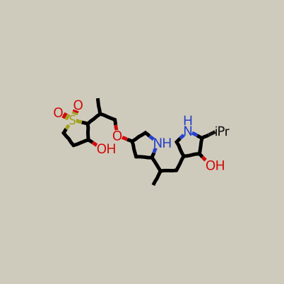 CC(C)C1NCC(CC(C)C2CC(OCC(C)C3C(O)CCS3(=O)=O)CN2)C1O